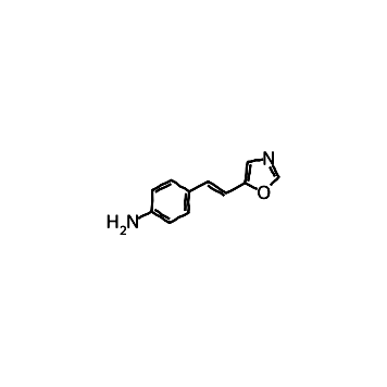 Nc1ccc(C=Cc2cnco2)cc1